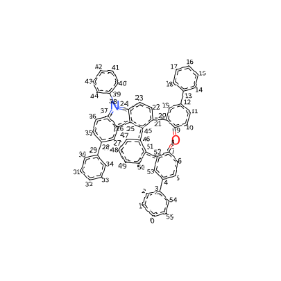 c1ccc(-c2ccc3oc4ccc(-c5ccccc5)cc4c4ccc5c(c6cc(-c7ccccc7)ccc6n5-c5ccccc5)c4c4ccccc4c3c2)cc1